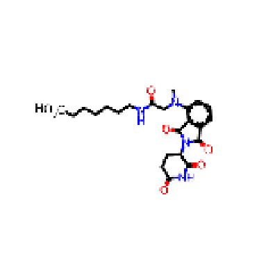 CN(CC(=O)NCCCCCCC(=O)O)c1cccc2c1C(=O)N(C1CCC(=O)NC1=O)C2=O